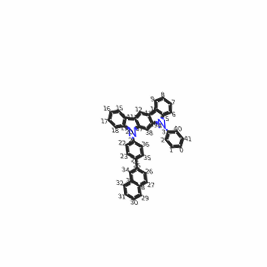 c1ccc(-n2c3ccccc3c3cc4c5ccccc5n(-c5ccc(-c6ccc7ccccc7c6)cc5)c4cc32)cc1